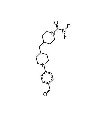 O=Cc1ccc(N2CCC(CC3CCN(C(=O)N(F)F)CC3)CC2)cc1